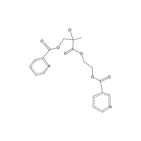 CC([O])(COC(=O)c1ccccn1)C(=O)OCCOC(=O)c1cccnc1